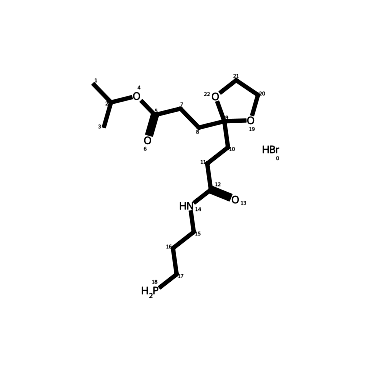 Br.CC(C)OC(=O)CCC1(CCC(=O)NCCCP)OCCO1